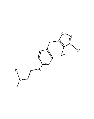 CCc1noc(Cc2ccc(OCC[S+](C)[O-])cc2)c1C(C)=O